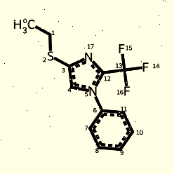 CCSc1cn(-c2ccccc2)c(C(F)(F)F)n1